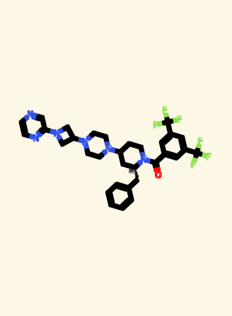 O=C(c1cc(C(F)(F)F)cc(C(F)(F)F)c1)N1CCC(N2CCN(C3CN(c4cnccn4)C3)CC2)C[C@H]1Cc1ccccc1